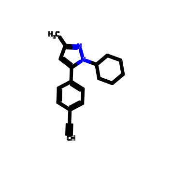 C#Cc1ccc(-c2cc(C)nn2C2CCCCC2)cc1